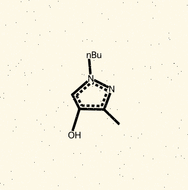 CCCCn1cc(O)c(C)n1